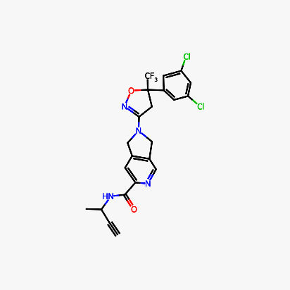 C#CC(C)NC(=O)c1cc2c(cn1)CN(C1=NOC(c3cc(Cl)cc(Cl)c3)(C(F)(F)F)C1)C2